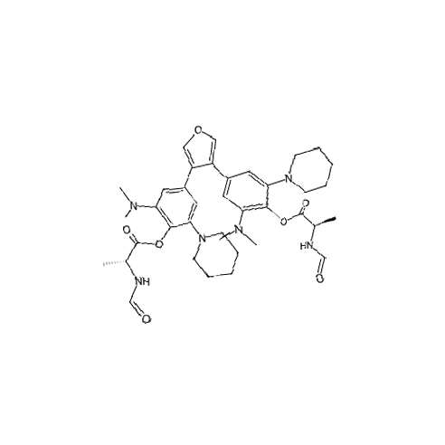 C[C@@H](NC=O)C(=O)Oc1c(N(C)C)cc(-c2cocc2-c2cc(N(C)C)c(OC(=O)[C@@H](C)NC=O)c(N3CCCCC3)c2)cc1N1CCCCC1